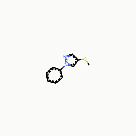 CSc1cnn(-c2ccccc2)c1